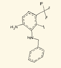 Nc1ccc(C(F)(F)F)c(I)c1NCc1ccccc1